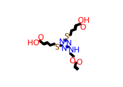 C=CC(=O)OCCNc1nc(SCCC=CC(=O)O)nc(SCCC=CC(=O)O)n1